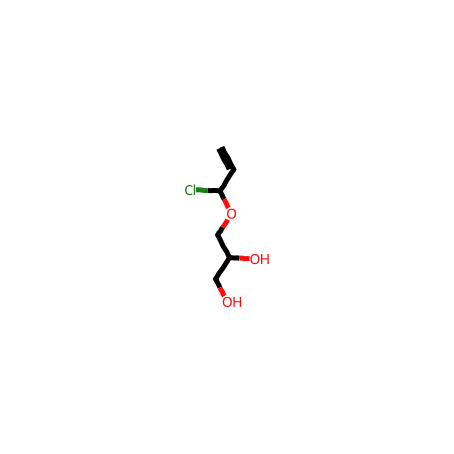 C=CC(Cl)OCC(O)CO